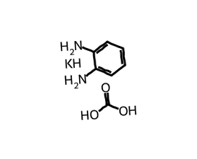 Nc1ccccc1N.O=C(O)O.[KH]